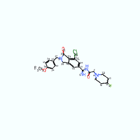 N=C(NC(=O)CN1CCC(F)CC1)c1cc(Cl)c2c(c1)CN(Cc1ccc(OC(F)(F)F)cc1)C2=O